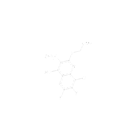 CCOC(=O)c1c(SCOC)nc2c(Cl)c(F)c(F)cc2c1O